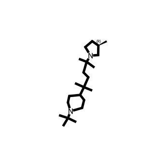 C[C@@H]1CCN(C(C)(C)CCC(C)(C)C2CCN(C(C)(C)C)CC2)C1